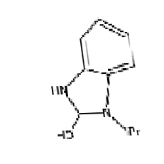 CC(C)N1c2ccccc2NC1O